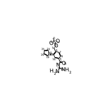 CS(=O)(=O)OCc1ccc(C(=O)N=C(N)N)cc1-n1cccc1